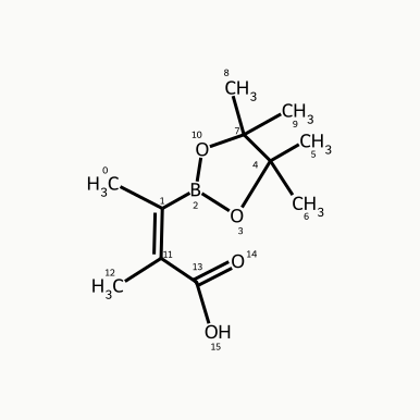 CC(B1OC(C)(C)C(C)(C)O1)=C(C)C(=O)O